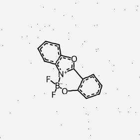 F[B-]1(F)Oc2ccccc2-c2oc3ccccc3[n+]21